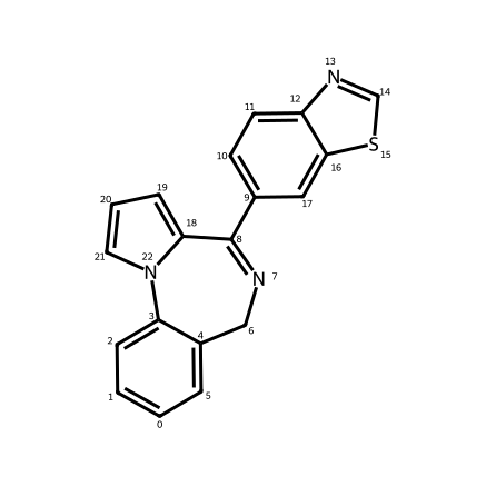 c1ccc2c(c1)CN=C(c1ccc3ncsc3c1)c1cccn1-2